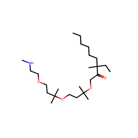 CCCCCCC(C)(CC)C(=O)COC(C)(C)CCOC(C)(C)CCOCCNC